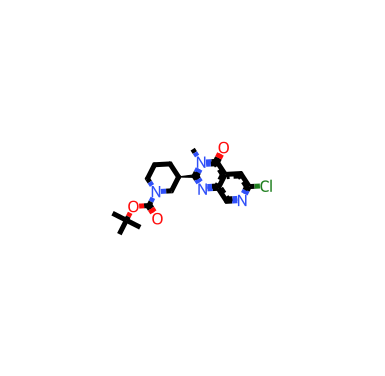 Cn1c([C@@H]2CCCN(C(=O)OC(C)(C)C)C2)nc2cnc(Cl)cc2c1=O